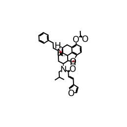 CC(=O)Oc1ccc2c3c1C[C@@H]1[C@@H]4CC[C@H](N(CC(C)C)C(=O)/C=C/c5ccoc5)[C@H](O2)[C@]34CCN1CCc1ccccc1